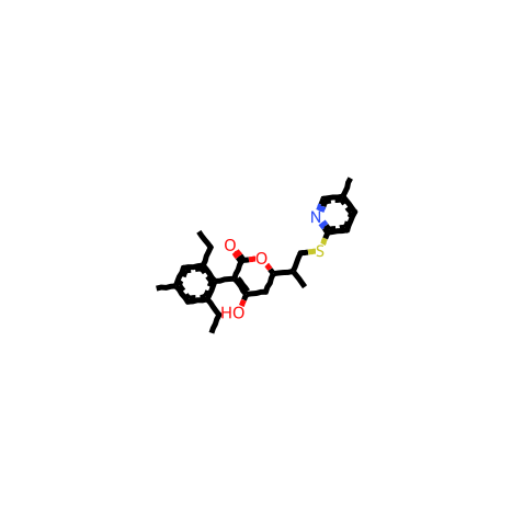 CCc1cc(C)cc(CC)c1C1=C(O)CC(C(C)CSc2ccc(C)cn2)OC1=O